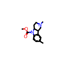 COC(=O)N1c2ccc(C)cc2C2CN(C)CCC21